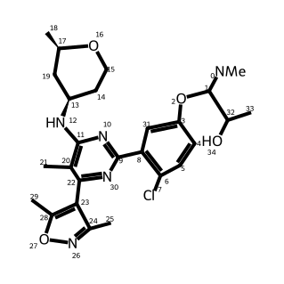 CNC(Oc1ccc(Cl)c(-c2nc(N[C@@H]3CCO[C@H](C)C3)c(C)c(-c3c(C)noc3C)n2)c1)C(C)O